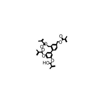 C=C(C)C(=O)OCc1ccc(-c2cc(OC(=O)C(=C)C)cc(OC(O)C(=C)C)c2)c(COC(=O)C(=C)C)c1